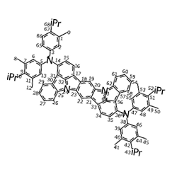 Cc1cc(N(c2cc(C)c(C(C)C)c(C)c2)c2ccc3c4cc5c(cc4n4c6ccccc6c2c34)c2ccc(N(c3cc(C)c(C(C)C)c(C)c3)c3cc(C)c(C(C)C)c(C)c3)c3c4ccccc4n5c23)ccc1C(C)C